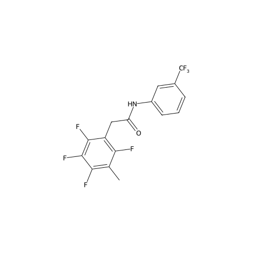 Cc1c(F)c(F)c(F)c(CC(=O)Nc2cccc(C(F)(F)F)c2)c1F